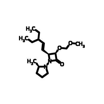 CCC(/C=C/[C@H]1[C@@H](OCOC)C(=O)N1N1CCC[C@H]1C)CC